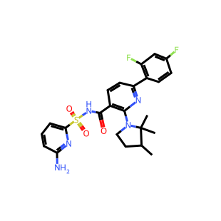 CC1CCN(c2nc(-c3ccc(F)cc3F)ccc2C(=O)NS(=O)(=O)c2cccc(N)n2)C1(C)C